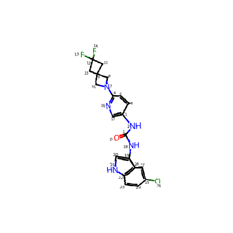 O=C(Nc1ccc(N2CC3(C2)CC(F)(F)C3)nc1)Nc1c[nH]c2ccc(Cl)cc12